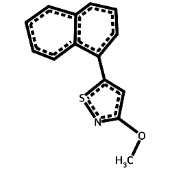 COc1cc(-c2cccc3ccccc23)sn1